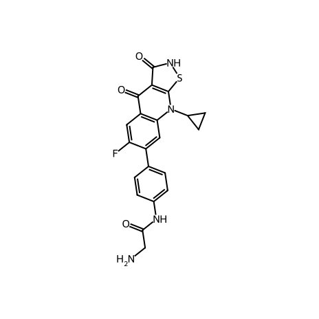 NCC(=O)Nc1ccc(-c2cc3c(cc2F)c(=O)c2c(=O)[nH]sc2n3C2CC2)cc1